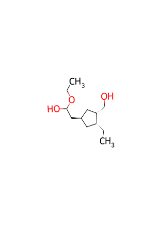 CCOC(O)C[C@@H]1C[C@@H](CC)[C@@H](CO)C1